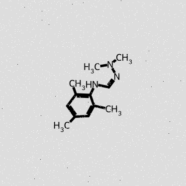 Cc1cc(C)c(N/C=N\N(C)C)c(C)c1